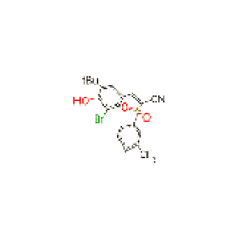 CC(C)(C)c1cc(/C=C(/C#N)S(=O)(=O)c2cccc(C(F)(F)F)c2)cc(Br)c1O